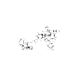 CCC(=O)N(CCCOc1ccc(C[C@H](Nc2ccccc2C(=O)c2ccccc2)C(=O)OC)cc1)c1ccccc1OC